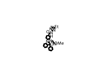 CCn1nnc(NC(=O)c2ccc3nc(C(O)(c4ccccc4)c4ccccc4)n(CCOC)c3c2)n1